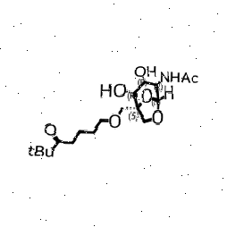 CC(=O)N[C@H]1[C@@H]2OC[C@](COCCCCC(=O)C(C)(C)C)(O2)[C@H](O)[C@@H]1O